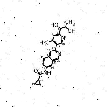 Cc1cc(C(O)C(C)O)ncc1-c1cc2cnc(NC(=O)C3CC3)cc2cn1